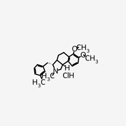 COc1ccc2c(c1OC)CCC1[C@@H](Cc3cccc(C)c3)N(C)C[C@@H]21.Cl